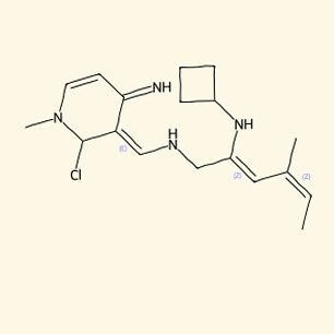 C/C=C(C)\C=C(\CN/C=C1\C(=N)C=CN(C)C1Cl)NC1CCC1